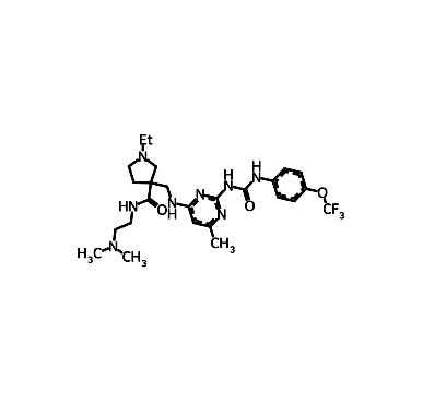 CCN1CCC(CNc2cc(C)nc(NC(=O)Nc3ccc(OC(F)(F)F)cc3)n2)(C(=O)NCCN(C)C)C1